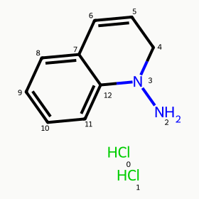 Cl.Cl.NN1CC=Cc2ccccc21